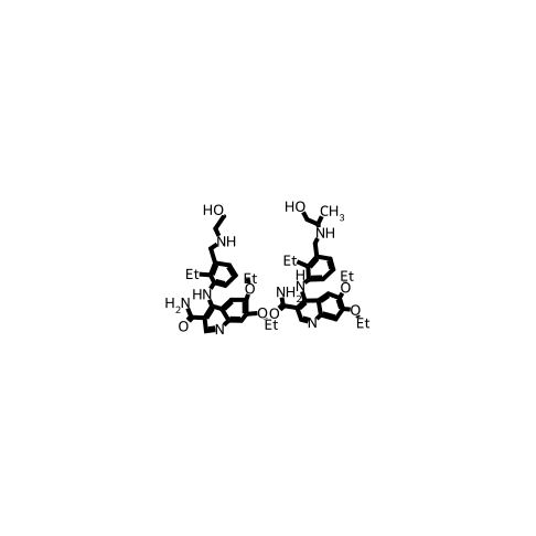 CCOc1cc2ncc(C(N)=O)c(Nc3cccc(CNC(C)CO)c3CC)c2cc1OCC.CCOc1cc2ncc(C(N)=O)c(Nc3cccc(CNCCO)c3CC)c2cc1OCC